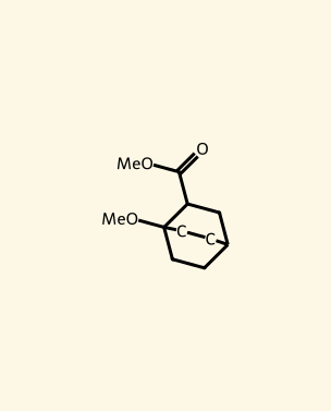 COC(=O)C1CC2CCC1(OC)CC2